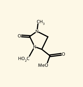 COC(=O)C1CN(C)C(=O)N1C(=O)O